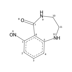 O=Nc1cccc2c1C(=O)NCCN2